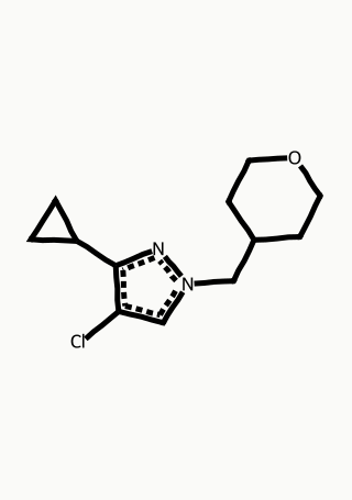 Clc1cn(CC2CCOCC2)nc1C1CC1